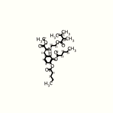 CCCCC(=O)Oc1ccc(C[C@H](NCCOC(=O)C(C)C(C)C)C(=O)OC)cc1OC(=O)CCCC